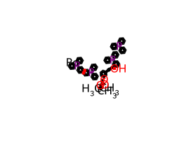 CC(C)(C)OC(=O)COc1cccc(C#CCO)c1.[Pd].c1ccc(P(c2ccccc2)c2ccccc2)cc1.c1ccc(P(c2ccccc2)c2ccccc2)cc1.c1ccc(P(c2ccccc2)c2ccccc2)cc1.c1ccc(P(c2ccccc2)c2ccccc2)cc1